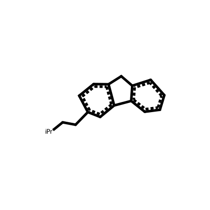 CC(C)CCc1ccc2c(c1)-c1ccccc1C2